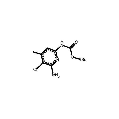 Cc1cc(NC(=O)OC(C)(C)C)nc(N)c1Cl